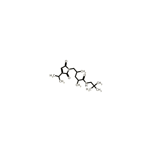 CC(CC(C)C(=O)NCC(C)(C)C)CN1C(=O)C=C(C(C)C)C1=O